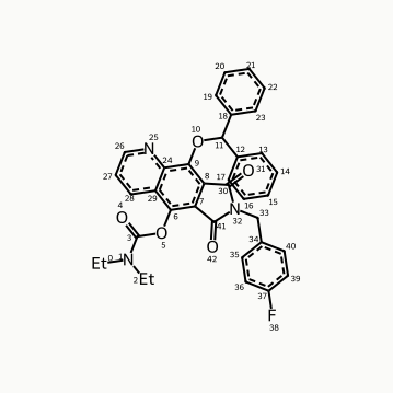 CCN(CC)C(=O)Oc1c2c(c(OC(c3ccccc3)c3ccccc3)c3ncccc13)C(=O)N(Cc1ccc(F)cc1)C2=O